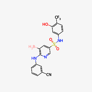 Bc1cc(S(=O)(=O)Nc2ccc(C(F)(F)F)c(O)c2)cnc1Nc1cccc(C#N)c1